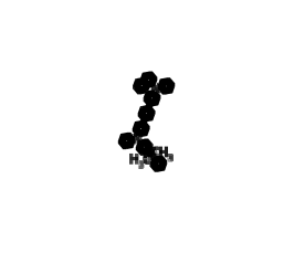 C[Si](C)(c1ccccc1)c1ccc(N(c2ccccc2)c2ccc(-c3ccc(-c4ccc(N(c5ccccc5)c5cccc6ccccc56)cc4)cc3)cc2)cc1